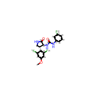 COc1cc(F)c([C@@H]2CNC(=O)[C@H]2NC(=O)Nc2cccc(F)c2)c(F)c1